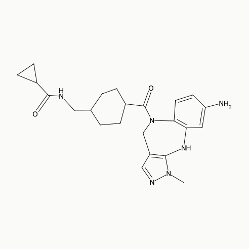 Cn1ncc2c1Nc1cc(N)ccc1N(C(=O)C1CCC(CNC(=O)C3CC3)CC1)C2